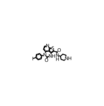 O=C(NC1CCNCC1)c1sc2nccc3c2c1NC(=O)N3c1ccc(I)cc1